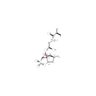 C=C(C)C(=O)NCC(=O)OC1C2C3(C)CC1(C)CC3OS2(=O)=O